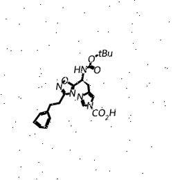 CC(C)(C)OC(=O)N[C@@H](Cc1cn(C(=O)O)cn1)c1nc(CCc2ccccc2)no1